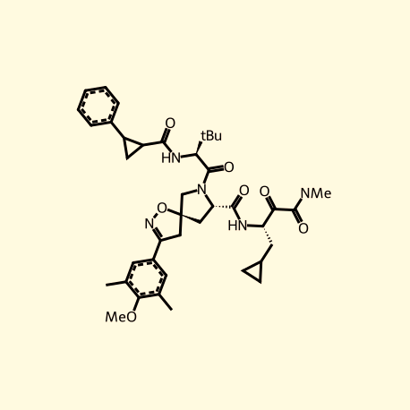 CNC(=O)C(=O)[C@H](CC1CC1)NC(=O)[C@@H]1C[C@]2(CC(c3cc(C)c(OC)c(C)c3)=NO2)CN1C(=O)[C@@H](NC(=O)C1CC1c1ccccc1)C(C)(C)C